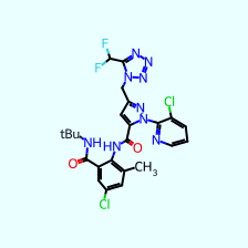 Cc1cc(Cl)cc(C(=O)NC(C)(C)C)c1NC(=O)c1cc(Cn2nnnc2C(F)F)nn1-c1ncccc1Cl